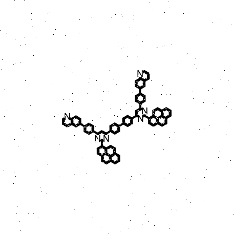 c1cnc2ccc(-c3ccc(-c4cc(-c5ccc(-c6ccc(-c7cc(-c8ccc(-c9ccc%10ncccc%10c9)cc8)nc(-c8ccc9ccc%10cccc%11ccc8c9c%10%11)n7)cc6)cc5)nc(-c5ccc6ccc7cccc8ccc5c6c78)n4)cc3)cc2c1